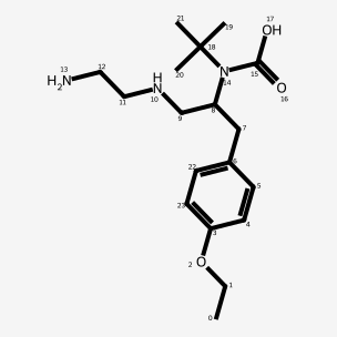 CCOc1ccc(CC(CNCCN)N(C(=O)O)C(C)(C)C)cc1